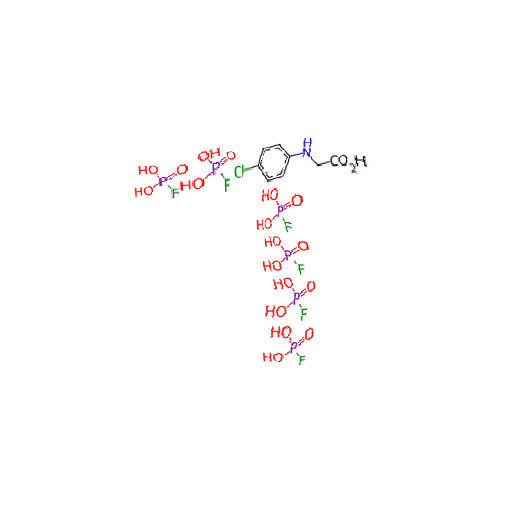 O=C(O)CNc1ccc(Cl)cc1.O=P(O)(O)F.O=P(O)(O)F.O=P(O)(O)F.O=P(O)(O)F.O=P(O)(O)F.O=P(O)(O)F